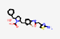 Nc1nc(CC(=O)Nc2ccc(CC3CCC([C@H](O)c4ccccc4)N3C(=O)O)cc2Br)cs1